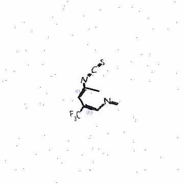 C=N/C=C(\C=C(/C)N=C=S)C(F)(F)F